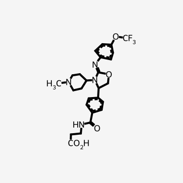 CN1CCC(N2C(=Nc3ccc(OC(F)(F)F)cc3)OCC2c2ccc(C(=O)NCCC(=O)O)cc2)CC1